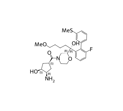 COCCCC[C@@](O)(c1cccc(F)c1-c1cccc(SC)c1)[C@H]1CN(C(=O)[C@H]2C[C@@H](N)[C@@H](O)C2)CCO1